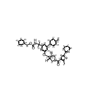 Cc1nc(-c2ncccn2)sc1C(=O)N1C[C@@H]2C(Oc3cc(-c4ccc(F)cc4)cc(C(C)(C)NC(=O)OCc4ccccc4)n3)[C@@H]2C1